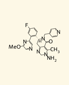 COc1cncc(-c2cc(F)ccc2[C@H]2CC3=NCN(N)C(C)=C3C(=O)N2Cc2ccncc2)n1